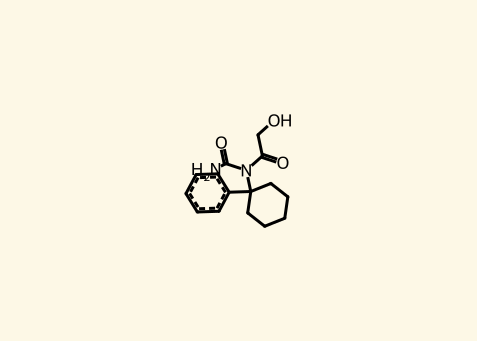 NC(=O)N(C(=O)CO)C1(c2ccccc2)CCCCC1